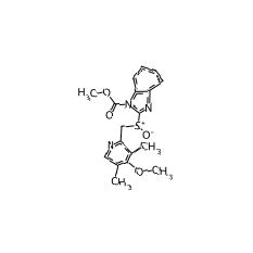 COC(=O)n1c([S+]([O-])Cc2ncc(C)c(OC)c2C)nc2ccccc21